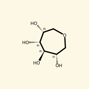 O[C@H]1[C@H](O)[C@@H](O)COC[C@H]1O